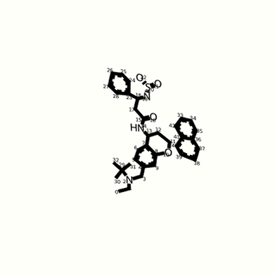 CCN(Cc1ccc2c(c1)OCCC2NC(=O)CC(N=S(=O)=O)c1ccccc1)C(C)(C)C.c1ccc2ccccc2c1